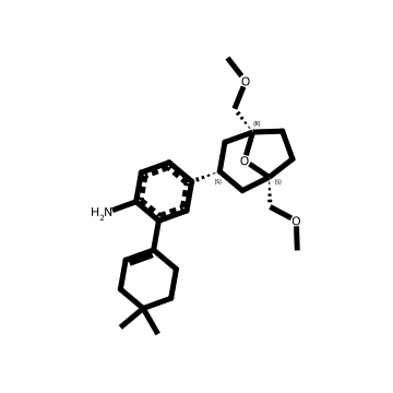 COC[C@@]12CC[C@@](COC)(C[C@H](c3ccc(N)c(C4=CCC(C)(C)CC4)c3)C1)O2